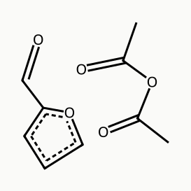 CC(=O)OC(C)=O.O=Cc1ccco1